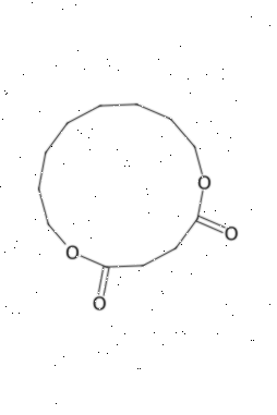 O=C1CCC(=O)OCCCCCCCCO1